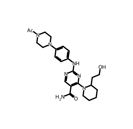 CC(=O)N1CCN(c2ccc(Nc3ncc(C(N)=O)c(N4CCCCC4CCO)n3)cc2)CC1